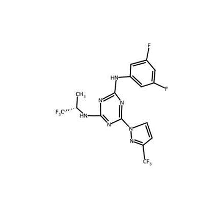 C[C@H](Nc1nc(Nc2cc(F)cc(F)c2)nc(-n2ccc(C(F)(F)F)n2)n1)C(F)(F)F